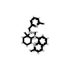 Cc1cccc(CNC2(C)CCCCC2N(C)c2cccc3ccc(C)nc23)n1